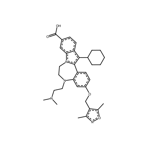 Cc1noc(C)c1COc1ccc2c(c1)N(CCN(C)C)CCn1c-2c(C2CCCCC2)c2ccc(C(=O)O)cc21